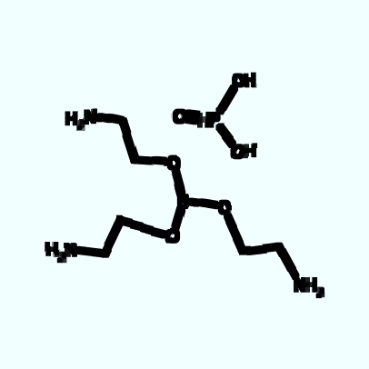 NCCOB(OCCN)OCCN.O=[PH](O)O